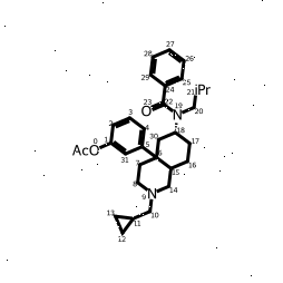 CC(=O)Oc1cccc(C23CCN(CC4CC4)CC2CC[C@@H](N(CC(C)C)C(=O)c2ccccc2)C3)c1